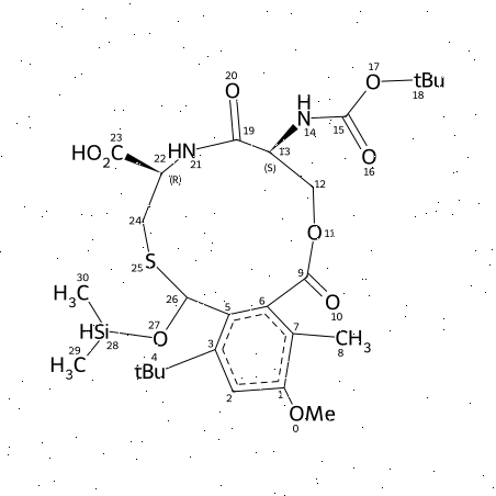 COc1cc(C(C)(C)C)c2c(c1C)C(=O)OC[C@H](NC(=O)OC(C)(C)C)C(=O)N[C@H](C(=O)O)CSC2O[SiH](C)C